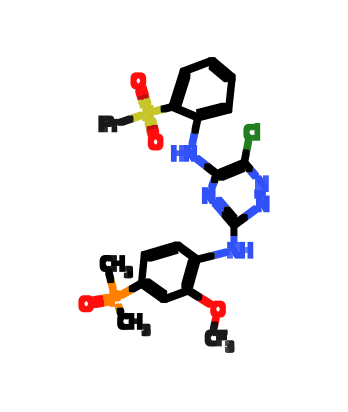 CC(C)S(=O)(=O)c1ccccc1Nc1nc(Nc2ccc(P(C)(C)=O)cc2OC(F)(F)F)nnc1Cl